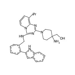 CC(C)C1=C2N=C(N3CCC(N)(CO)CC3)N=C(NCc3ccccc3-c3cc4ccccc4[nH]3)N2C=C=C1